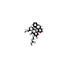 COCC1COC[C@@H]2N1C(=O)c1c(OCOC(=O)OC)c(=O)ccn1N2[C@@H]1c2ccccc2SCc2cccc(Cl)c21